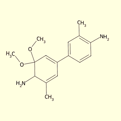 COC1(OC)C=C(c2ccc(N)c(C)c2)C=C(C)C1N